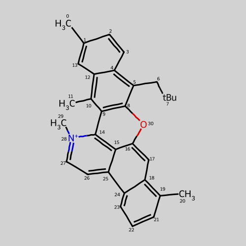 Cc1ccc2c(CC(C)(C)C)c3c(c(C)c2c1)-c1c2c(cc4c(C)cccc4c2cc[n+]1C)O3